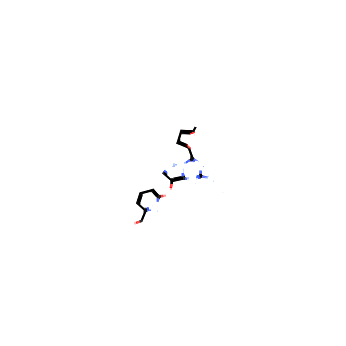 Cc1ccc(-c2nc(NC(C)(C)C)nc3c(Oc4cccc(CO)n4)cnn23)o1